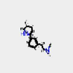 C[C@H]1CC=C(c2cccc(CCN(C)C)c2)NC1